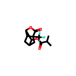 CC(C)C(=O)OC1C2CC3C1OC(=O)C3(C(F)(F)F)C2